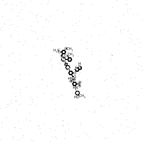 COc1ccc(CN2CCN(C3CC4(CCN(c5ccc(C(=O)NS(=O)(=O)c6ccc(NC[C@H]7CC[C@](C)(O)CC7)c([N+](=O)[O-])c6)c(Oc6cnc7[nH]ccc7c6)c5)CC4)C3)C(c3ccccc3C(C)C)C2)c(OC)c1